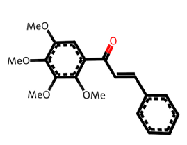 COc1cc(C(=O)C=Cc2ccccc2)c(OC)c(OC)c1OC